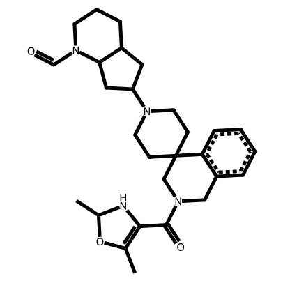 CC1=C(C(=O)N2Cc3ccccc3C3(CCN(C4CC5CCCN(C=O)C5C4)CC3)C2)NC(C)O1